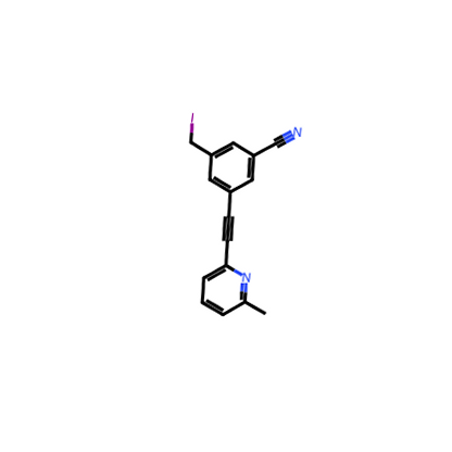 Cc1cccc(C#Cc2cc(C#N)cc(CI)c2)n1